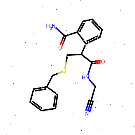 N#CCNC(=O)C(CSCc1ccccc1)c1ccccc1C(N)=O